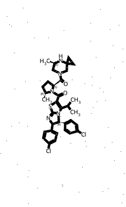 CC(C)C1=C(C(=O)N2[C@H](C)CC[C@H]2C(=O)N2C[C@@H](C)NC3(CC3)C2)SC2=NC(c3ccc(Cl)cc3)[C@@H](c3ccc(Cl)cc3)N21